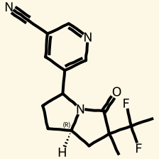 CC(F)(F)C1(C)C[C@H]2CCC(c3cncc(C#N)c3)N2C1=O